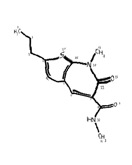 CCCc1cc2cc(C(=O)NC)c(=O)n(C)c2s1